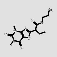 CCC(C(=O)NCCN)c1nc2c([nH]1)c(=O)n(C)c(=O)n2C